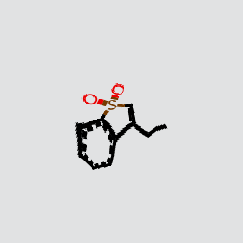 CCC1=CS(=O)(=O)c2ccccc21